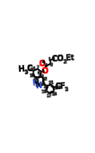 CCOC(=O)CCC(=O)OC1CC(C)Cc2nnc(-c3cccc(C(F)(F)F)c3)cc21